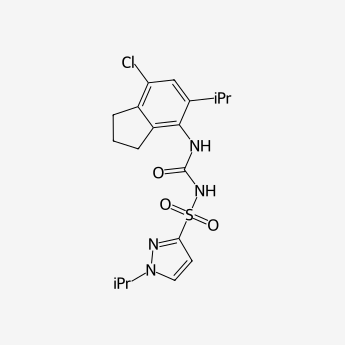 CC(C)c1cc(Cl)c2c(c1NC(=O)NS(=O)(=O)c1ccn(C(C)C)n1)CCC2